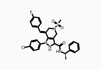 C[C@@H](NC(=O)C1NN(c2ccc(Cl)cc2)C2=C1CN(S(C)(=O)=O)C/C2=C\c1ccc(F)cc1)c1ccccc1